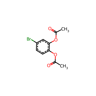 CC(=O)Oc1ccc(Br)cc1OC(C)=O